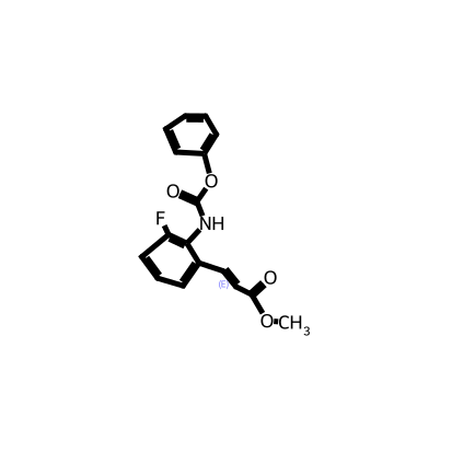 COC(=O)/C=C/c1cccc(F)c1NC(=O)Oc1ccccc1